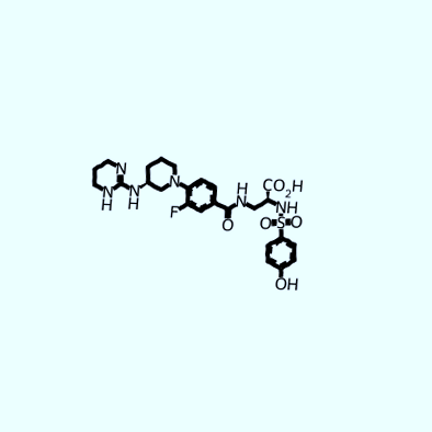 O=C(NC[C@H](NS(=O)(=O)c1ccc(O)cc1)C(=O)O)c1ccc(N2CCC[C@H](NC3=NCCCN3)C2)c(F)c1